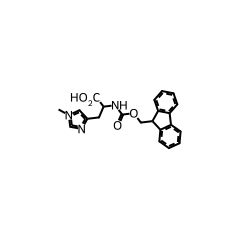 Cn1cnc(CC(NC(=O)OCC2c3ccccc3-c3ccccc32)C(=O)O)c1